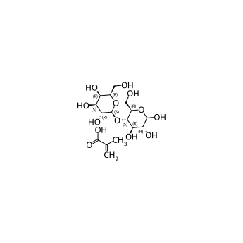 C=C(C)C(=O)O.OC[C@H]1O[C@@H](O[C@H]2[C@H](O)[C@@H](O)C(O)O[C@@H]2CO)[C@H](O)[C@@H](O)[C@H]1O